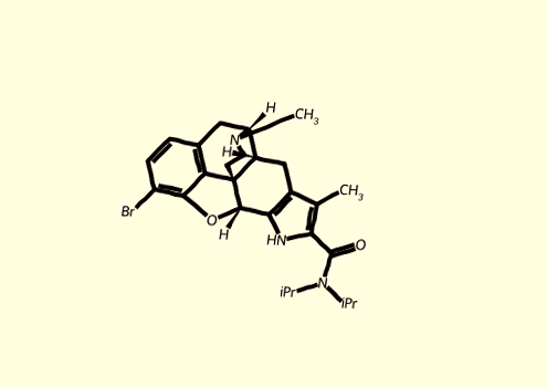 Cc1c(C(=O)N(C(C)C)C(C)C)[nH]c2c1C[C@H]1[C@H]3Cc4ccc(Br)c5c4[C@@]1(CCN3C)[C@H]2O5